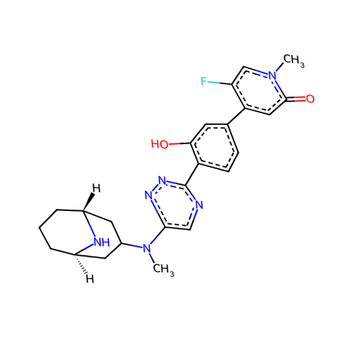 CN(c1cnc(-c2ccc(-c3cc(=O)n(C)cc3F)cc2O)nn1)C1C[C@H]2CCC[C@H](C1)N2